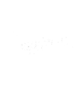 CC(C)CCC[C@@H](C)[C@H]1CC[C@H]2[C@@H]3CCC4C[C@H](NC(=O)CNC(=O)OC(C)(C)C)CC[C@]4(C)[C@H]3CC[C@]12C